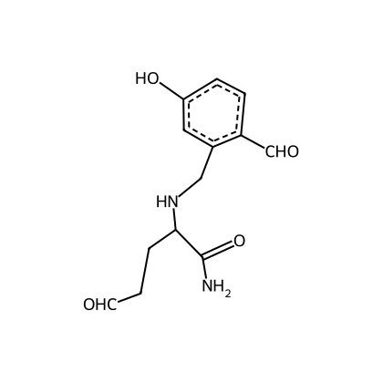 NC(=O)C(CCC=O)NCc1cc(O)ccc1C=O